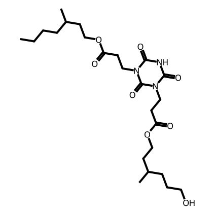 CCCCC(C)CCOC(=O)CCn1c(=O)[nH]c(=O)n(CCC(=O)OCCC(C)CCCO)c1=O